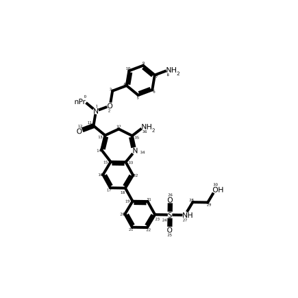 CCCN(OCc1ccc(N)cc1)C(=O)C1=Cc2ccc(-c3cccc(S(=O)(=O)NCCO)c3)cc2N=C(N)C1